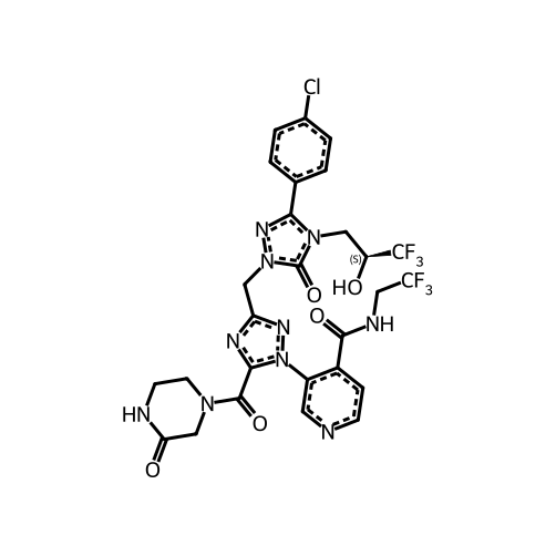 O=C1CN(C(=O)c2nc(Cn3nc(-c4ccc(Cl)cc4)n(C[C@H](O)C(F)(F)F)c3=O)nn2-c2cnccc2C(=O)NCC(F)(F)F)CCN1